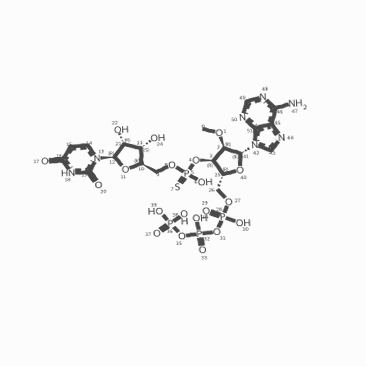 CO[C@@H]1[C@H](OP(O)(=S)OC[C@H]2O[C@@H](n3ccc(=O)[nH]c3=O)[C@H](O)[C@@H]2O)[C@@H](COP(=O)(O)OP(=O)(O)OP(=O)(O)O)O[C@H]1n1cnc2c(N)ncnc21